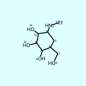 CCNC1CC(CO)C(O)C(O)C1O